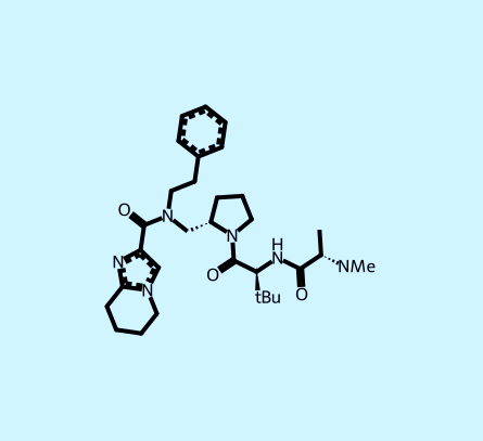 CN[C@@H](C)C(=O)N[C@H](C(=O)N1CCC[C@H]1CN(CCc1ccccc1)C(=O)c1cn2c(n1)CCCC2)C(C)(C)C